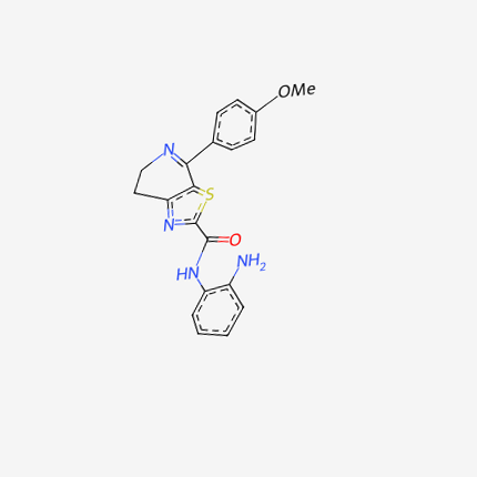 COc1ccc(C2=NCCc3nc(C(=O)Nc4ccccc4N)sc32)cc1